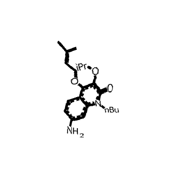 CCCCn1c(=O)c(OC(C)C)c(OCC=C(C)C)c2ccc(N)cc21